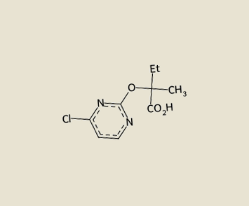 CCC(C)(Oc1nccc(Cl)n1)C(=O)O